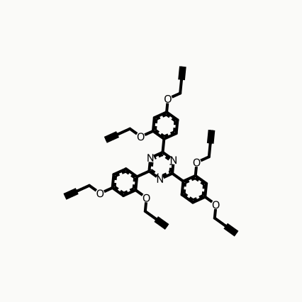 C#CCOc1ccc(-c2nc(-c3ccc(OCC#C)cc3OCC#C)nc(-c3ccc(OCC#C)cc3OCC#C)n2)c(OCC#C)c1